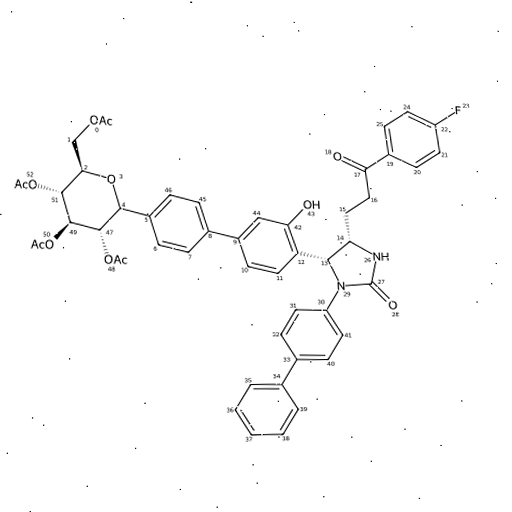 CC(=O)OC[C@H]1OC(c2ccc(-c3ccc([C@@H]4[C@H](CCC(=O)c5ccc(F)cc5)NC(=O)N4c4ccc(-c5ccccc5)cc4)c(O)c3)cc2)[C@H](OC(C)=O)[C@@H](OC(C)=O)[C@@H]1OC(C)=O